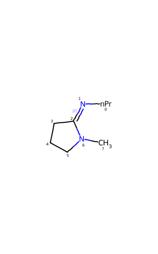 CCC/N=C1/CCCN1C